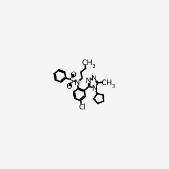 CCCCN(c1ccc(Cl)cc1-c1nnc(C)n1C1CCCC1)S(=O)(=O)c1ccccc1